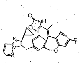 CC(=C1c2ccc(Cc3c(C4CC4)nc4cccnn34)cc2COc2cc(F)ccc21)c1noc(=O)[nH]1